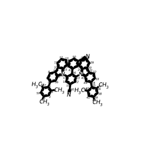 Cc1cc(C)c(-c2ccc3c4ccccc4n(-c4cc(C#N)cc(-n5c6ccccc6c6ccc(-c7c(C)cc(C)cc7C)cc65)c4-c4cccc(C#N)c4)c3c2)c(C)c1